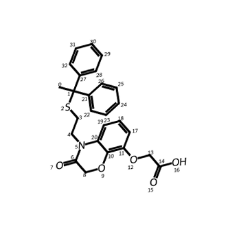 CC(SCCN1C(=O)COc2c(OCC(=O)O)cccc21)(c1ccccc1)c1ccccc1